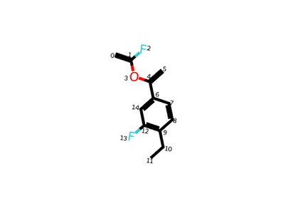 C=C(F)OC(=C)c1ccc(CC)c(F)c1